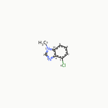 Cn1cnc2c(Cl)cccc21